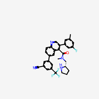 Cc1cc(F)cc(-c2cnc3ccc(-c4cc(C#N)cc(C(F)(F)F)c4)cc3c2C(=O)N(C)C[C@@H]2CCCN2)c1